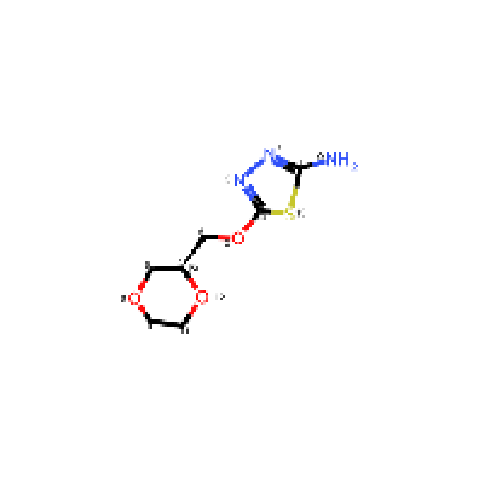 Nc1nnc(OC[C@@H]2COCCO2)s1